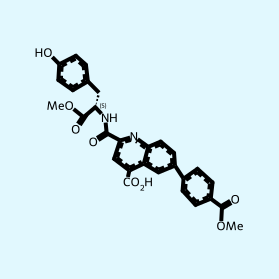 COC(=O)c1ccc(-c2ccc3nc(C(=O)N[C@@H](Cc4ccc(O)cc4)C(=O)OC)cc(C(=O)O)c3c2)cc1